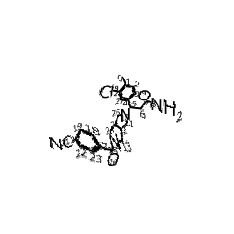 Cc1ccc(C(CC(N)=O)N2CC3CN(C(=O)c4ccc(C#N)cc4)CC3C2)cc1Cl